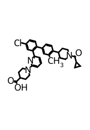 Cc1cc(-c2ccc(Cl)cc2-c2cccc(N3CCC(C(=O)O)CC3)n2)ccc1C1CCN(C(=O)C2CC2)CC1